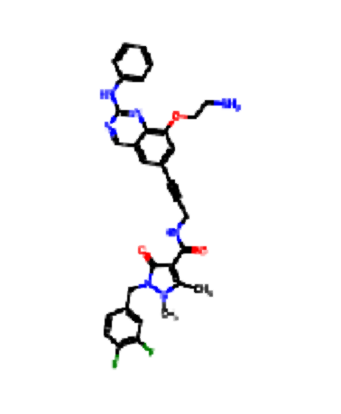 Cc1c(C(=O)NCC#Cc2cc(OCCN)c3nc(Nc4ccccc4)ncc3c2)c(=O)n(Cc2ccc(F)c(F)c2)n1C